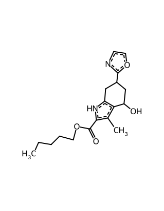 CCCCCOC(=O)c1[nH]c2c(c1C)C(O)CC(c1ncco1)C2